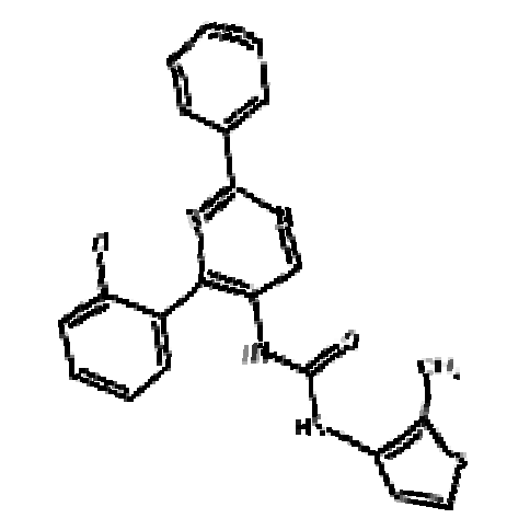 Cc1sccc1NC(=O)Nc1cnc(-c2ccccc2)nc1-c1ccccc1Cl